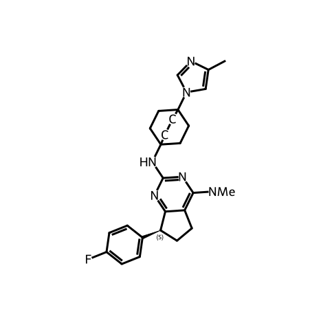 CNc1nc(NC23CCC(n4cnc(C)c4)(CC2)CC3)nc2c1CC[C@H]2c1ccc(F)cc1